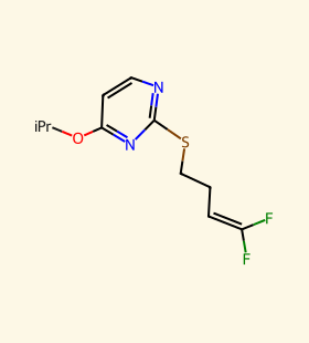 CC(C)Oc1ccnc(SCCC=C(F)F)n1